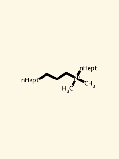 CCCCCCCCCC[N+](C)(C)CCCCCCC